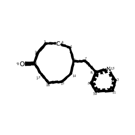 O=C1CCCCC(Cc2ccccn2)CCCC1